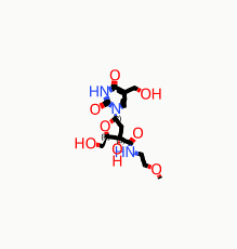 COCCNC(=O)[C@]1(O)C[C@H](n2cc(CO)c(=O)[nH]c2=O)O[C@@H]1CO